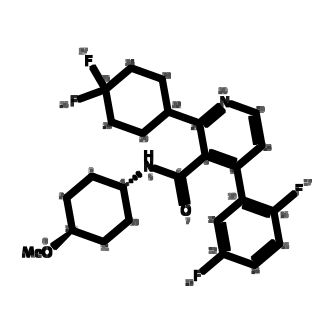 CO[C@H]1CC[C@H](NC(=O)c2c(-c3cc(F)ccc3F)ccnc2C2CCC(F)(F)CC2)CC1